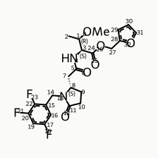 CO[C@H](C)[C@H](NC(=O)C[C@@H]1CCC(=O)N1Cc1cc(F)cc(F)c1F)C(=O)OCc1ccco1